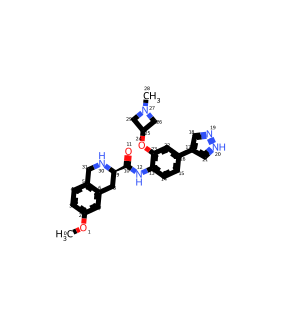 COc1ccc2c(c1)C[C@H](C(=O)Nc1ccc(-c3cn[nH]c3)cc1OC1CN(C)C1)NC2